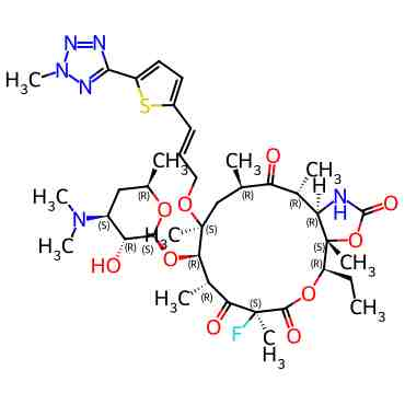 CC[C@H]1OC(=O)[C@@](C)(F)C(=O)[C@H](C)[C@@H](O[C@@H]2O[C@H](C)C[C@H](N(C)C)[C@H]2O)[C@@](C)(OCC=Cc2ccc(-c3nnn(C)n3)s2)C[C@@H](C)C(=O)[C@H](C)[C@H]2NC(=O)O[C@@]21C